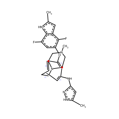 Cc1cc(NC2=C/C(N3CCN(C)CC3)=C/C=C/C(Oc3cc(F)c4[nH]c(C)cc4c3F)=N\2)n[nH]1